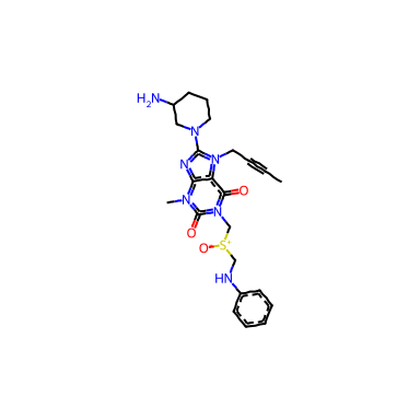 CC#CCn1c(N2CCCC(N)C2)nc2c1c(=O)n(C[S+]([O-])CNc1ccccc1)c(=O)n2C